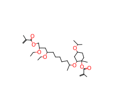 C=C(C)C(=O)OCC(CC(CCCCCC(C)OC1CC(OC(C)C)CCC1(C)OC(=O)C(=C)C)OCC)OCC